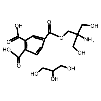 NC(CO)(CO)COC(=O)c1ccc(C(=O)O)c(C(=O)O)c1.OCC(O)CO